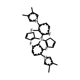 Cc1cn(-c2ccc(F)[c]([Ti]([C]3=CC=CC3)([C]3=CC=CC3)[c]3c(F)ccc(-n4cc(C)c(C)c4)c3F)c2F)cc1C